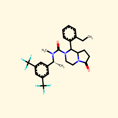 CCc1ccccc1C1C2CCC(=O)N2CCN1C(=O)N(C)[C@H](C)c1cc(C(F)(F)F)cc(C(F)(F)F)c1